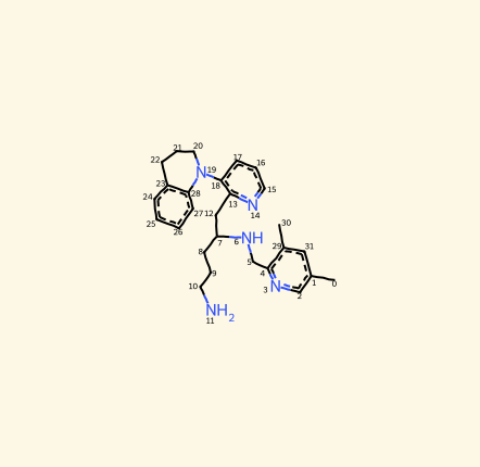 Cc1cnc(CNC(CCCN)Cc2ncccc2N2CCCc3ccccc32)c(C)c1